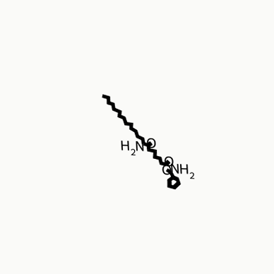 CCCCCCCCCCCCCCC(N)C(=O)CCCCCC(=O)OC(N)c1ccccc1